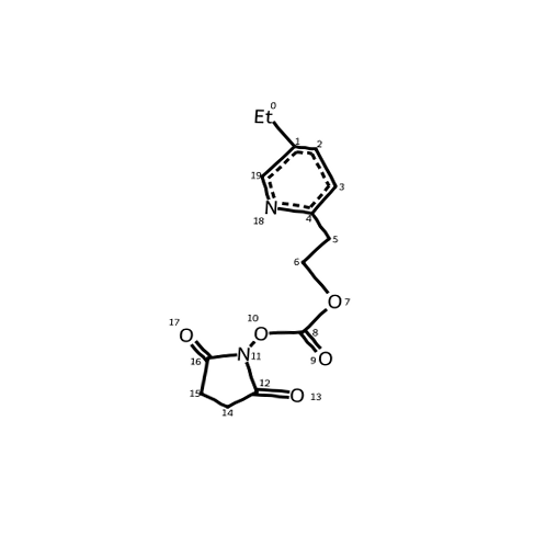 CCc1ccc(CCOC(=O)ON2C(=O)CCC2=O)nc1